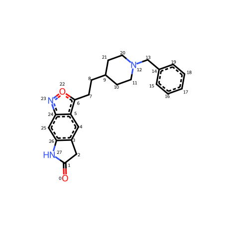 O=C1Cc2cc3c(CCC4CCN(Cc5ccccc5)CC4)onc3cc2N1